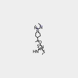 C/C=N\C(=N/C)N1CCC([C@H](C)Oc2nn(SC)c(=N)s2)CC1